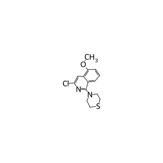 COc1cccc2c(N3CCSCC3)nc(Cl)cc12